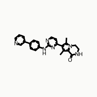 Cc1c(-c2ccnc(Nc3ccc(-c4cccnc4)cc3)n2)c(C)n2c1C(=O)NCC2